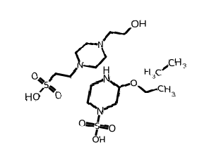 CC.CCOC1CN(S(=O)(=O)O)CCN1.O=S(=O)(O)CCN1CCN(CCO)CC1